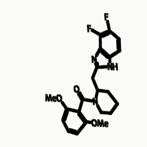 COc1cccc(OC)c1C(=O)N1CCCCC1Cc1nc2c(F)c(F)ccc2[nH]1